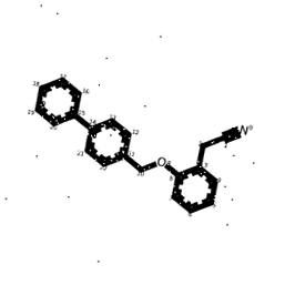 N#CCc1ccccc1OCc1ccc(-c2ccccc2)cc1